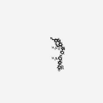 CC[C@@H]1CN(CC[C@H]2CC[C@H](c3cn(-c4cnc(-n5ncc6cc(C#N)cnc65)cc4NC(C)C#N)nn3)CC2)CCN1c1ccc(N2CCC(=O)NC2=O)cn1